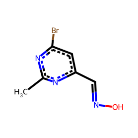 Cc1nc(Br)cc(C=NO)n1